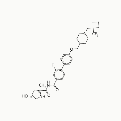 C[C@@]1(C(=O)NC(=O)c2ccc(-c3ccc(OCC4CCN(CC5(C(F)(F)F)CCC5)CC4)cn3)c(F)c2)C[C@@H](O)CN1